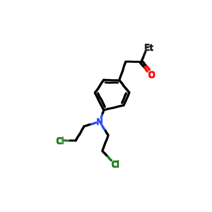 CCC(=O)Cc1ccc(N(CCCl)CCCl)cc1